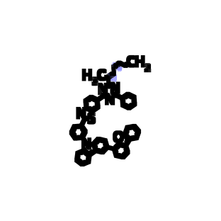 C=C/C=C\C=C(/C)c1nc(-c2ccccc2)nc(-c2ccc3nc(-c4cccc(-n5c6ccccc6c6cc(-c7cccc8c7oc7ccccc78)ccc65)c4)sc3c2)n1